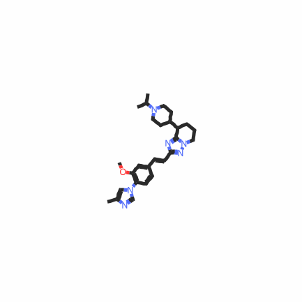 COc1cc(C=Cc2nc3n(n2)CCCC3C2CCN(C(C)C)CC2)ccc1-n1cnc(C)c1